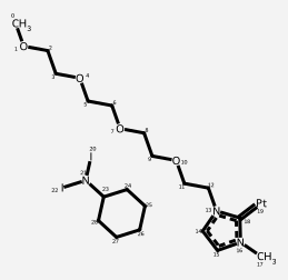 COCCOCCOCCOCCn1ccn(C)[c]1=[Pt].IN(I)C1CCCCC1